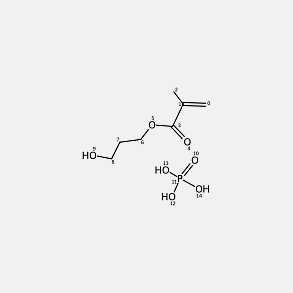 C=C(C)C(=O)OCCCO.O=P(O)(O)O